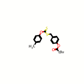 Cc1ccc(OC(=S)SCc2ccc(OC(=O)C(C)(C)C)cc2)cc1